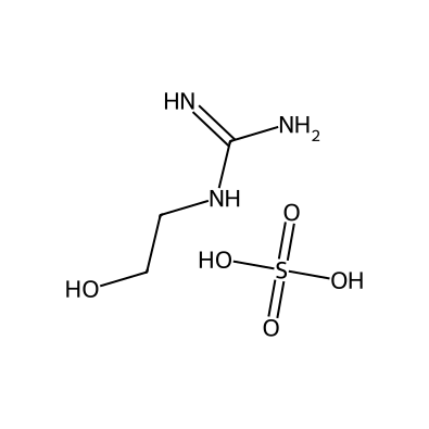 N=C(N)NCCO.O=S(=O)(O)O